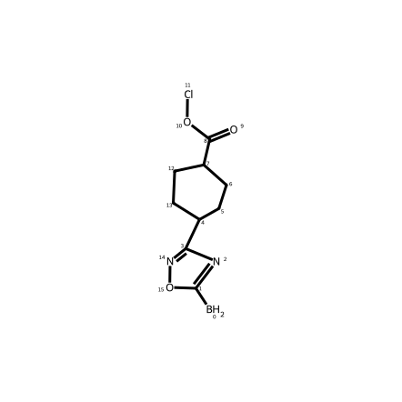 Bc1nc(C2CCC(C(=O)OCl)CC2)no1